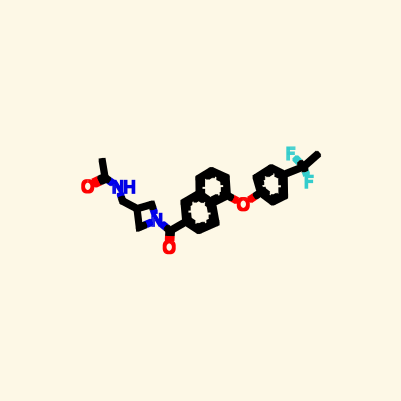 CC(=O)NCC1CN(C(=O)c2ccc3c(Oc4ccc(C(C)(F)F)cc4)cccc3c2)C1